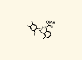 COC(=S)Nc1cccc(C)c1COc1cc(C)c(C)cc1F